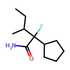 CCC(C)C(F)(C(N)=O)C1CCCC1